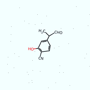 CC(C=O)c1ccc(C#N)c(O)c1